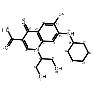 O=C(O)c1cn(C(CO)CO)c2cc(NC3CCCCC3)c(F)cc2c1=O